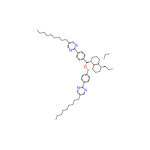 CCCCCCCCCc1cnc(-c2ccc(C(OC(c3ccc(-c4ncc(CCCCCCCCC)cn4)cc3)[C@H]3CC[C@H](CCC)CC3)[C@H]3CC[C@H](CCC)CC3)cc2)nc1